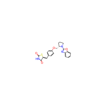 O=C1NC(=O)/C(=C/c2ccc(OC[C@@H]3CCCN3c3nc4ccccc4o3)cc2)S1